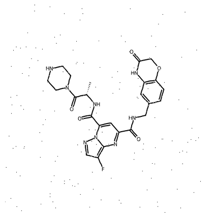 C[C@H](NC(=O)c1cc(C(=O)NCc2ccc3c(c2)NC(=O)CO3)nc2c(F)cnn12)C(=O)N1CCNCC1